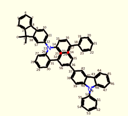 CC1(C)c2ccccc2-c2ccc(N(c3ccc(-c4ccccc4)cc3)c3ccccc3-c3cccc(-c4ccc5c(c4)c4ccccc4n5-c4ccccc4)c3)cc21